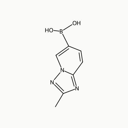 Cc1nc2ccc(B(O)O)cn2n1